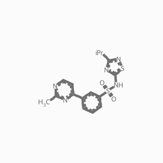 Cc1nccc(-c2cccc(S(=O)(=O)Nc3nc(C(C)C)ns3)c2)n1